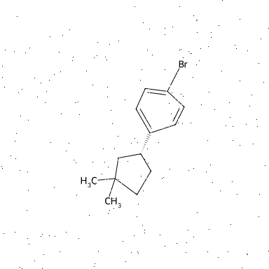 CC1(C)CC[C@@H](c2ccc(Br)cc2)C1